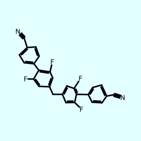 N#Cc1ccc(-c2c(F)cc(Cc3cc(F)c(-c4ccc(C#N)cc4)c(F)c3)cc2F)cc1